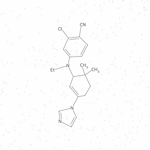 CCN(c1ccc(C#N)c(Cl)c1)C1C=C(n2ccnc2)CCC1(C)C